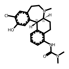 CN(C)C(=O)Nc1cccc2c1CC[C@H]1[C@H]2c2cc(O)c(Cl)cc2CCN1C